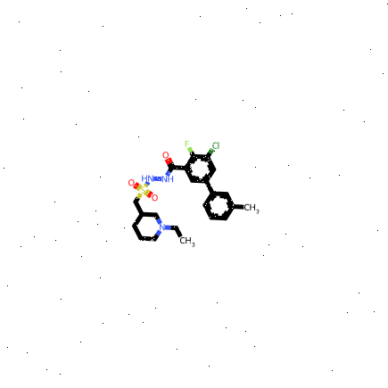 CCN1CCCC(CS(=O)(=O)NNC(=O)c2cc(-c3cccc(C)c3)cc(Cl)c2F)C1